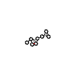 c1ccc(-c2cccc(-n3c4ccccc4c4cc(-c5ccc(-n6c7ccccc7c7ccccc76)cc5)ccc43)c2-c2ccccc2)cc1